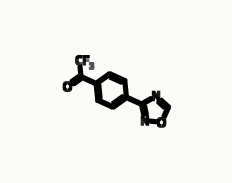 O=C(c1ccc(-c2ncon2)cc1)C(F)(F)F